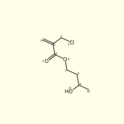 C=C(CCl)C(=O)OCCC(C)O